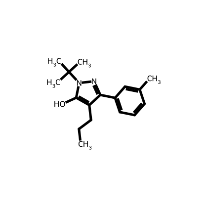 CCCc1c(-c2cccc(C)c2)nn(C(C)(C)C)c1O